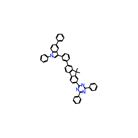 CC1(C)c2cc(-c3cccc(-c4cn(-c5ccccc5)c5ccc(-c6ccccc6)cc45)c3)ccc2-c2ccc(-c3nc(-c4ccccc4)nc(-c4ccccc4)n3)cc21